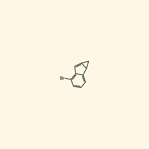 Brc1cccc2c1C=C1CC12